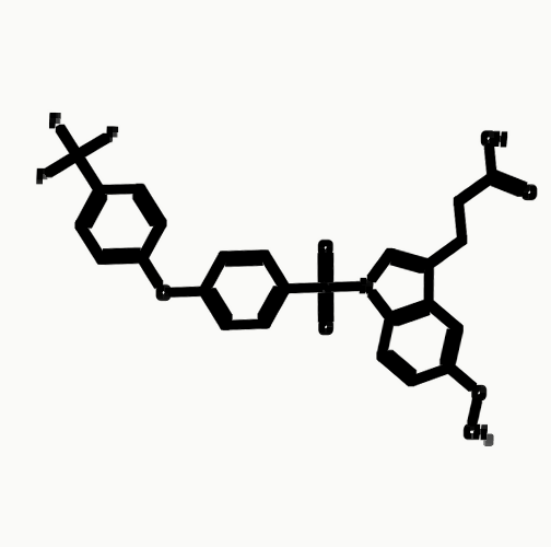 COc1ccc2c(c1)c(CCC(=O)O)cn2S(=O)(=O)c1ccc(Oc2ccc(C(F)(F)F)cc2)cc1